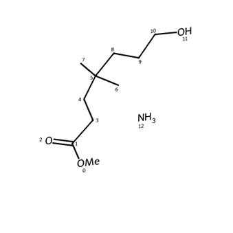 COC(=O)CCC(C)(C)CCCO.N